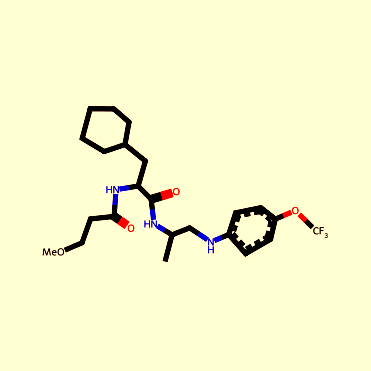 COCCC(=O)NC(CC1CCCCC1)C(=O)NC(C)CNc1ccc(OC(F)(F)F)cc1